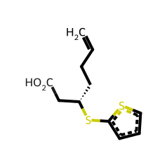 C=CCC[C@@H](CC(=O)O)Sc1cccs1